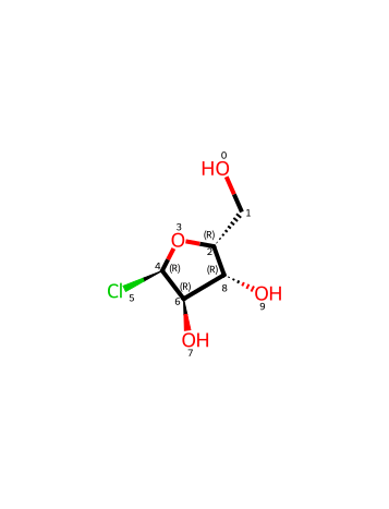 OC[C@H]1O[C@H](Cl)[C@H](O)[C@H]1O